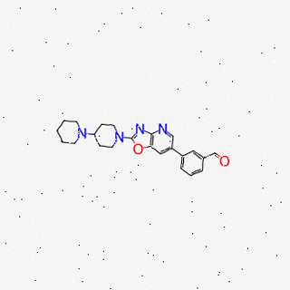 O=Cc1cccc(-c2cnc3nc(N4CCC(N5CCCCC5)CC4)oc3c2)c1